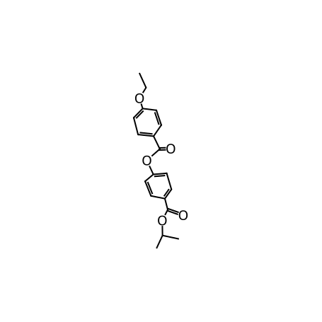 CCOc1ccc(C(=O)Oc2ccc(C(=O)OC(C)C)cc2)cc1